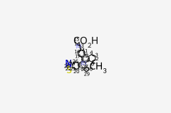 Cc1ccccc1/C(=C(\c1ccc(/C=C/C(=O)O)cc1)c1ccc2scnc2c1)C1CCC1